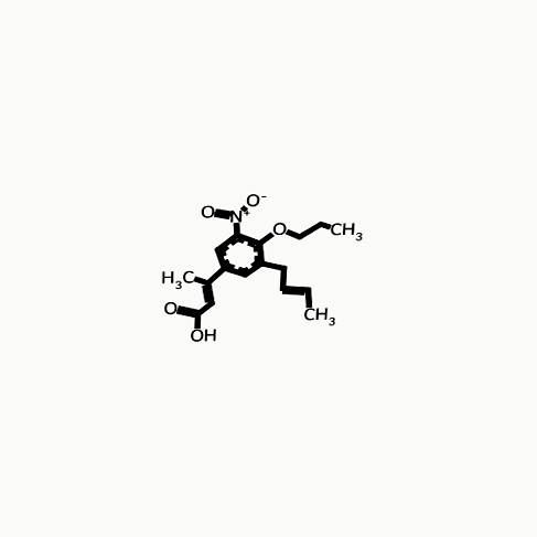 CC=CCc1cc(C(C)=CC(=O)O)cc([N+](=O)[O-])c1OCCC